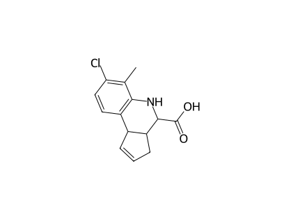 Cc1c(Cl)ccc2c1NC(C(=O)O)C1CC=CC21